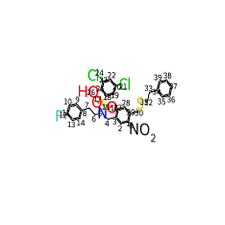 O=[N+]([O-])c1cc(CN(CCc2ccc(F)cc2)S(=O)(=O)c2cc(Cl)cc(Cl)c2O)ccc1CSCCc1ccccc1